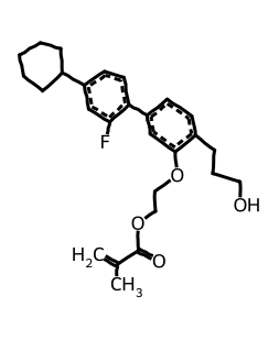 C=C(C)C(=O)OCCOc1cc(-c2ccc(C3CCCCC3)cc2F)ccc1CCCO